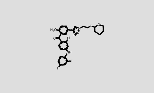 Cc1ccc(-c2cn(CCOC3CCCCO3)nn2)cc1C(=O)c1ccc(Nc2ccc(F)cc2F)cc1Cl